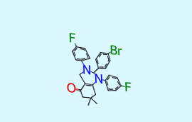 CC1(C)CC(=O)C2=C(C1)N(c1ccc(F)cc1)C(c1ccc(Br)cc1)N(c1ccc(F)cc1)C2